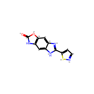 O=c1[nH]c2cc3[nH]c(-c4ccns4)nc3cc2o1